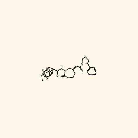 C=C1CCC/C(=C\C(=O)N2CCCC2c2ccccc2)CC1NC(=O)CC1C2=C3CC(=C1CC2)C3S(=O)(=O)CC